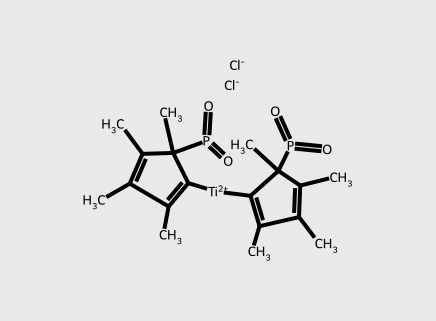 CC1=C(C)C(C)(P(=O)=O)[C]([Ti+2][C]2=C(C)C(C)=C(C)C2(C)P(=O)=O)=C1C.[Cl-].[Cl-]